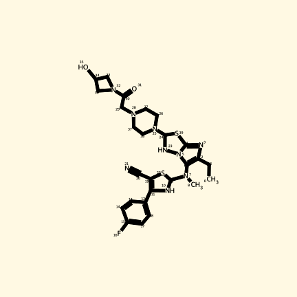 CCc1nc2n(c1N(C)C1NC(c3ccc(F)cc3)=C(C#N)S1)NC(N1CCN(CC(=O)N3CC(O)C3)CC1)S2